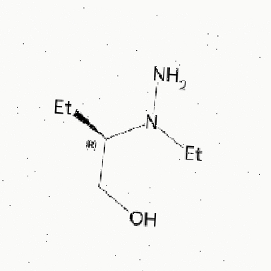 CC[C@H](CO)N(N)CC